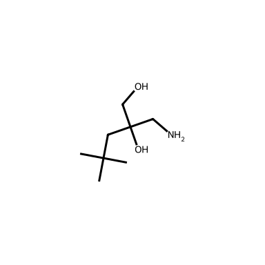 CC(C)(C)CC(O)(CN)CO